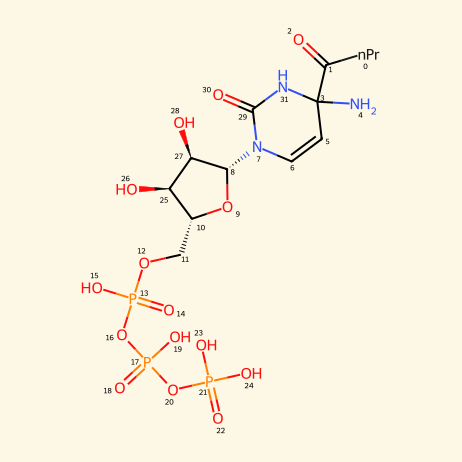 CCCC(=O)C1(N)C=CN([C@@H]2O[C@H](COP(=O)(O)OP(=O)(O)OP(=O)(O)O)[C@@H](O)[C@H]2O)C(=O)N1